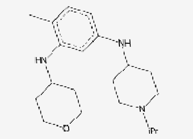 Cc1ccc(NC2CCN(C(C)C)CC2)cc1NC1CCOCC1